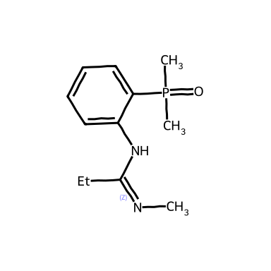 CC/C(=N/C)Nc1ccccc1P(C)(C)=O